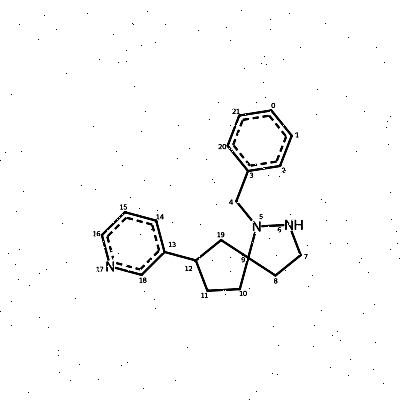 c1ccc(CN2NCCC23CCC(c2cccnc2)C3)cc1